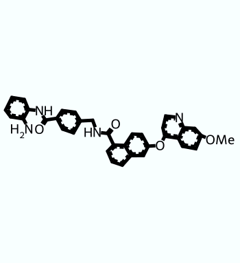 COc1ccc2c(Oc3ccc4c(C(=O)NCc5ccc(C(=O)Nc6ccccc6N)cc5)cccc4c3)ccnc2c1